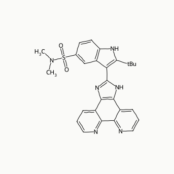 CN(C)S(=O)(=O)c1ccc2[nH]c(C(C)(C)C)c(-c3nc4c5cccnc5c5ncccc5c4[nH]3)c2c1